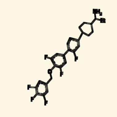 CCC(N)C1CCC(c2ccc(-c3cc(F)c(OCc4cc(F)c(F)c(F)c4)c(F)c3)c(F)c2)CC1